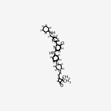 CC1(C)C(=O)CC1CCN1CCN(c2ccc(Nc3ccc(Cl)c(-c4nc(CNC5CCCCC5)cs4)n3)cc2)CC1